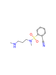 CNCCCN(C)S(=O)(=O)c1ccccc1C#N